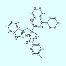 Cc1ccc(S(=O)(=O)NC(C)(Cc2c[nH]c3ccccc23)C(=O)NC(c2ccccn2)C2CCCCC2)cc1